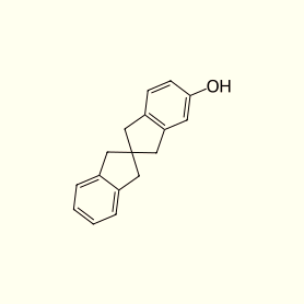 Oc1ccc2c(c1)CC1(Cc3ccccc3C1)C2